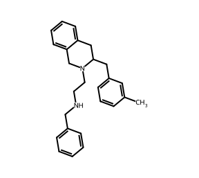 Cc1cccc(CC2Cc3ccccc3CN2CCNCc2ccccc2)c1